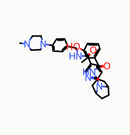 Cc1c(O)cccc1C(=O)NC1CC2CCC(C1)N2c1ccc(C(=O)NCc2ccc(N3CCN(C)CC3)cc2)cn1